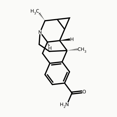 C[C@@H]1C2CC2[C@H]2[C@H]3Cc4ccc(C(N)=O)cc4[C@@]2(C)CCN13